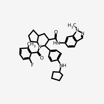 Cc1cccc(F)c1C(=O)N1C2CCCC2CC(C(=O)Nc2ccc3cnn(C)c3c2)C1c1ccc(NC2CCCC2)cc1